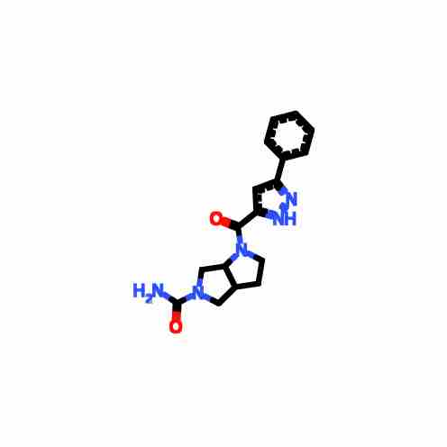 NC(=O)N1CC2CCN(C(=O)c3cc(-c4ccccc4)n[nH]3)C2C1